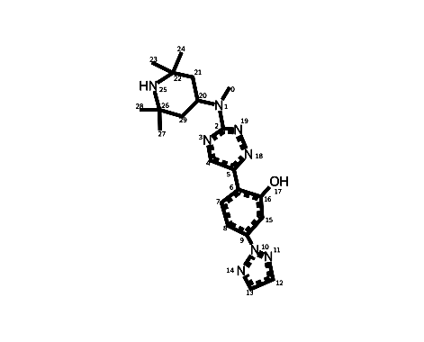 CN(c1ncc(-c2ccc(-n3nccn3)cc2O)nn1)C1CC(C)(C)NC(C)(C)C1